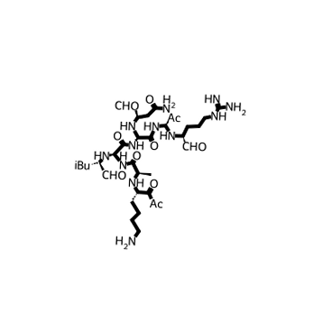 CC[C@@H](C)[C@H](C=O)N[C@H](NC(=O)[C@@H](C)N[C@@H](CCCCN)C(=O)C(C)=O)C(=O)N[C@@H](N[C@@H](C=O)CC(N)=O)C(=O)N[C@@H](N[C@@H](C=O)CCCNC(=N)N)C(C)=O